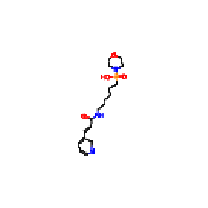 O=C(C=Cc1cccnc1)NCCCCCCP(=O)(O)N1CCOCC1